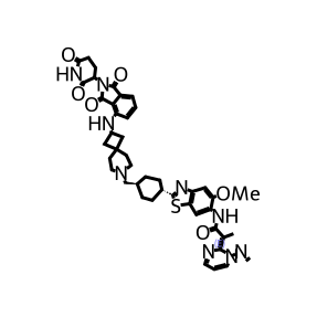 C=NN1C=CC=N/C1=C(/C)C(=O)Nc1cc2sc([C@H]3CC[C@H](CN4CCC5(CC4)CC(Nc4cccc6c4C(=O)N(C4CCC(=O)NC4=O)C6=O)C5)CC3)nc2cc1OC